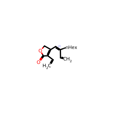 C=CC1=C(/C=C(\C=C)CCCCCC)COC1=O